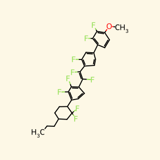 CCCC1CCC(c2ccc(/C(F)=C(\F)c3ccc(-c4ccc(OC)c(F)c4F)cc3F)c(F)c2F)C(F)(F)C1